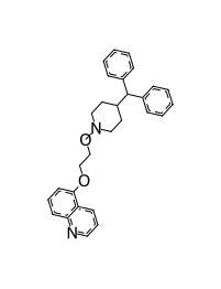 c1ccc(C(c2ccccc2)C2CCN(OCCOc3cccc4ncccc34)CC2)cc1